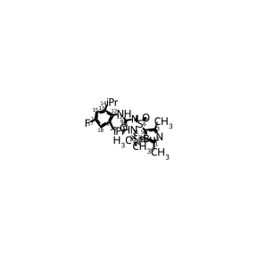 Cc1nc(C)c(S(=O)(=NC(=O)Nc2c(C(C)C)cc(F)cc2C(C)C)N[Si](C)(C)C(C)(C)C)s1